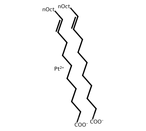 CCCCCCCCC=CCCCCCCCC(=O)[O-].CCCCCCCCC=CCCCCCCCC(=O)[O-].[Pt+2]